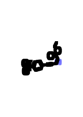 CCOC(=O)/C=C\C#Cc1ccc([N+](=O)[O-])cc1